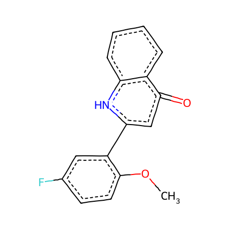 COc1ccc(F)cc1-c1cc(=O)c2ccccc2[nH]1